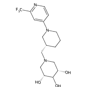 OC1[C@H](O)CN(C[C@H]2CCCN(c3ccnc(C(F)(F)F)c3)C2)C[C@@H]1O